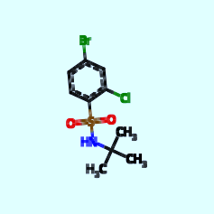 CC(C)(C)NS(=O)(=O)c1ccc(Br)cc1Cl